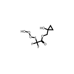 O=C(OCC1(O)CC1)C(F)(F)SOOO